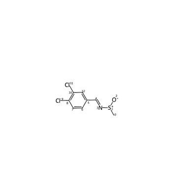 C[S+]([O-])/N=C/c1ccc(Cl)c(Cl)c1